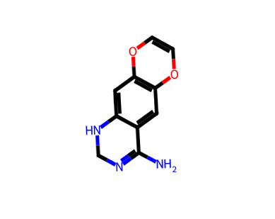 NC1=NCNc2cc3c(cc21)OC=CO3